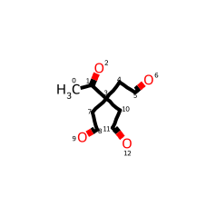 CC(=O)C(CC=O)(CC=O)CC=O